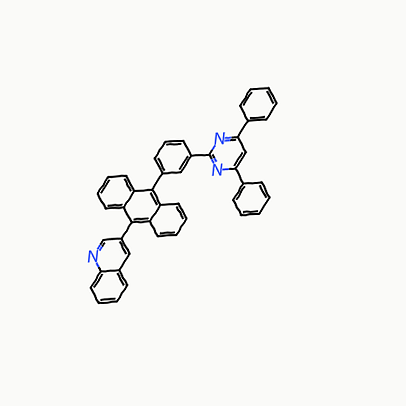 c1ccc(-c2cc(-c3ccccc3)nc(-c3cccc(-c4c5ccccc5c(-c5cnc6ccccc6c5)c5ccccc45)c3)n2)cc1